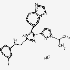 CC(C)n1ccc(-c2nc(CNc3cccc(F)c3)[nH]c2-c2ccc3ncnn3c2)n1.Cl